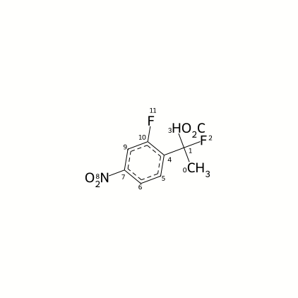 CC(F)(C(=O)O)c1ccc([N+](=O)[O-])cc1F